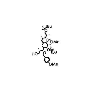 COCO[C@H]([C@@H](C)/C=C(/C)C[C@H](C)[C@@H](O[Si](C)(C)C(C)(C)C)[C@H](C)[C@@H](OCc1ccc(OC)cc1)[C@@H](C)CO)[C@@H](C)CO[Si](C)(C)C(C)(C)C